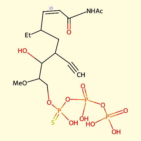 C#CC(CC(/C=C\C(=O)NC(C)=O)CC)C(O)C(COP(O)(=S)OP(=O)(O)OP(=O)(O)O)OC